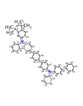 CC1(C)CC(C)(C)c2cc(N3c4ccccc4C4C=C(c5ccc(-c6ccc(N(C7=CC=CCC7)c7ccc(-c8ccccc8)cc7)cc6)cc5)C=CC43)ccc21